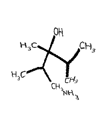 CC(C)C(C)(O)C(C)C.N